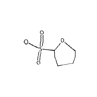 [O]S(=O)(=O)C1CCCO1